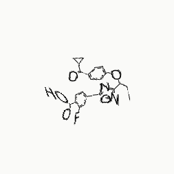 CCC(Oc1ccc(C(=O)C2CC2)cc1)c1noc(-c2ccc(C(=O)O)c(F)c2)n1